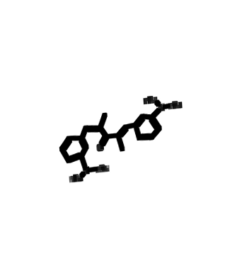 CCCCN(CCCC)c1cccc(C=C(C)C(=O)C(C)=Cc2cccc(N(CCCC)CCCC)c2)c1